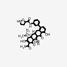 CN(C)[C@H]1C(O)=C(C(N)=O)C(=O)[C@@]2(O)C(O)=C3C(=O)c4c(O)ccc(-c5cccc(NC(=O)C6CCNO6)c5)c4C[C@H]3C[C@@H]12